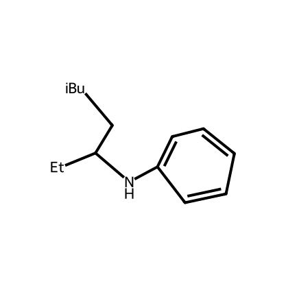 CCC(C)CC(CC)Nc1ccccc1